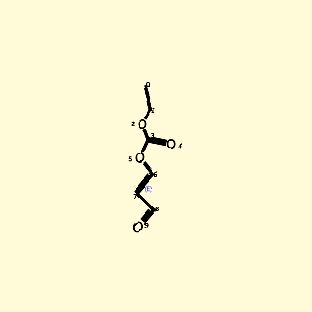 CCOC(=O)O/C=C/C=O